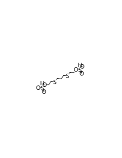 O=[SH](=O)OCCSCCCSCCO[SH](=O)=O